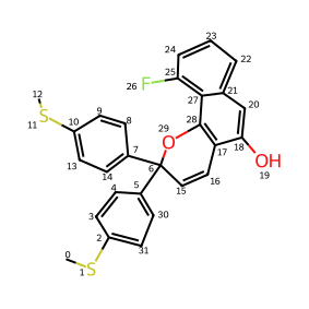 CSc1ccc(C2(c3ccc(SC)cc3)C=Cc3c(O)cc4cccc(F)c4c3O2)cc1